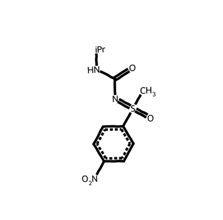 CC(C)NC(=O)N=S(C)(=O)c1ccc([N+](=O)[O-])cc1